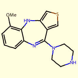 COc1cccc2c1Nc1cscc1C(N1CCNCC1)=N2